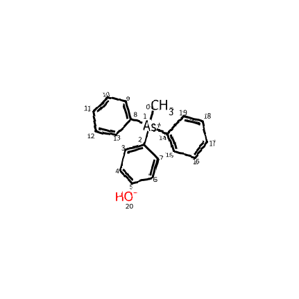 C[As+](c1ccccc1)(c1ccccc1)c1ccccc1.[OH-]